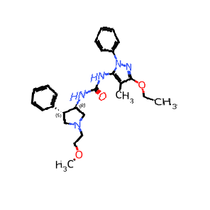 CCOc1nn(-c2ccccc2)c(NC(=O)N[C@H]2CN(CCOC)C[C@@H]2c2ccccc2)c1C